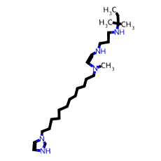 CCC(C)(C)NCCCN/C=C\N(C)CCCCCCCCCCCCN1C=CNC1